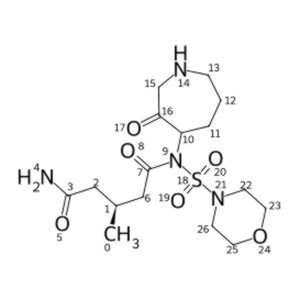 C[C@@H](CC(N)=O)CC(=O)N(C1CCCNCC1=O)S(=O)(=O)N1CCOCC1